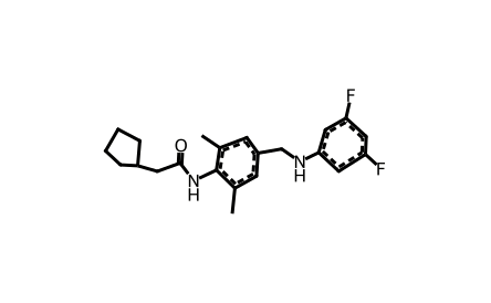 Cc1cc(CNc2cc(F)cc(F)c2)cc(C)c1NC(=O)CC1CCCC1